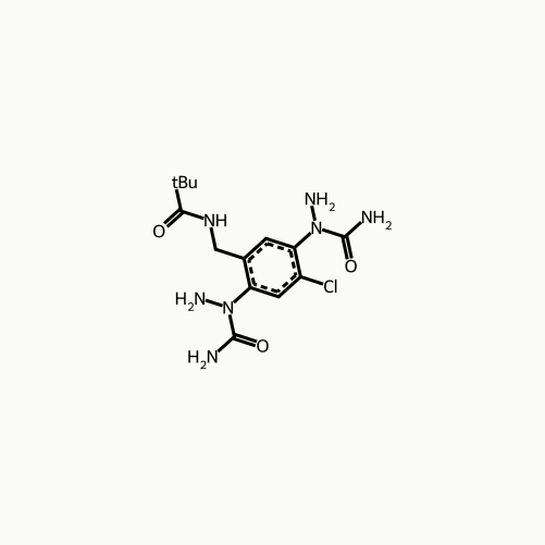 CC(C)(C)C(=O)NCc1cc(N(N)C(N)=O)c(Cl)cc1N(N)C(N)=O